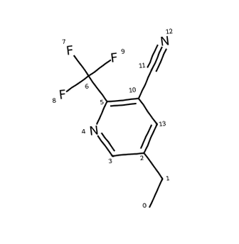 CCc1cnc(C(F)(F)F)c(C#N)c1